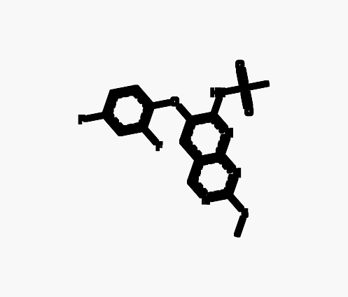 CSc1ncc2cc(Oc3ccc(F)cc3F)c(NS(C)(=O)=O)nc2n1